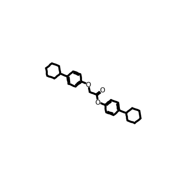 O=C(COc1ccc(C2CCCCC2)cc1)Oc1ccc(C2CCCCC2)cc1